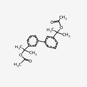 CC(=O)OC(C)(C)c1cccc(-c2cccc(C(C)(C)OC(C)=O)c2)c1